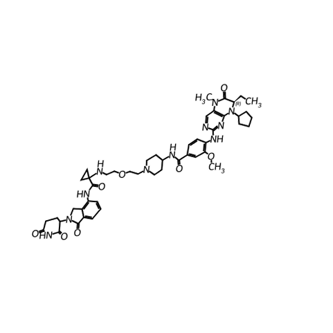 CC[C@@H]1C(=O)N(C)c2cnc(Nc3ccc(C(=O)NC4CCN(CCOCCNC5(C(=O)Nc6cccc7c6CN(C6CCC(=O)NC6=O)C7=O)CC5)CC4)cc3OC)nc2N1C1CCCC1